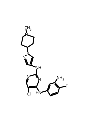 CN1CCC(n2cc(Nc3ncc(Cl)c(Nc4ccc(F)c(N)c4)n3)cn2)CC1